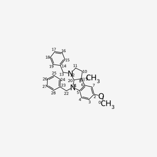 COc1ccc2c(c1)[C@]1(C)CCN(Cc3ccccc3)C1N2Cc1ccccc1